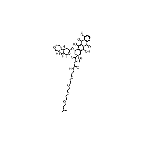 COc1cccc2c1C(=O)c1c(O)c3c(c(O)c1C2=O)C[C@@](O)(C(=O)NCC(=O)NCCOCCOCCOCCOCCC(C)C)C[C@@H]3O[C@H]1C[C@H]2[C@H](O[C@@H]3COCCN32)[C@H](C)O1